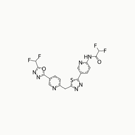 O=C(Nc1ccc(-c2nnc(Cc3ccc(-c4nnc(C(F)F)o4)cn3)s2)cn1)C(F)F